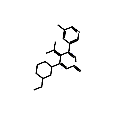 C=C/C=C(\C(=C(C)C)/C(=C\C)c1cncc(C)c1)C1CCCC(CC)C1